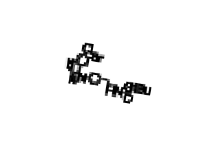 CC(C)(C)OC(=O)NCCCc1ccc(-n2cnc3cnc4cc(Cl)c(Br)cc4c32)cc1